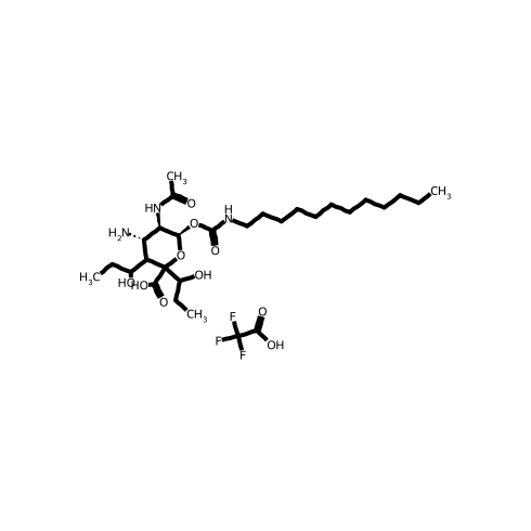 CCCCCCCCCCCCNC(=O)O[C@H]1OC(C(=O)O)(C(O)CC)C(C(O)CC)[C@H](N)[C@H]1NC(C)=O.O=C(O)C(F)(F)F